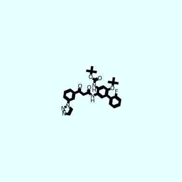 CC(C)(C)OC(=O)Nc1cc(OC(C)(C)C)c(-c2ccccc2F)cc1NC(=O)CC(=O)c1cccc(-n2ccnn2)c1